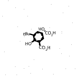 CC(C)(C)c1cccc(C(=O)O)c1O.O=C(O)O